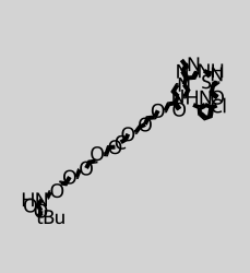 Cc1nc(Nc2ncc(C(=O)Nc3c(C)cccc3Cl)s2)cc(N2CCN(C(=O)CCOCCOCCOCCOCCOCCOCCOCCOCCNC(=O)OC(C)(C)C)CC2)n1